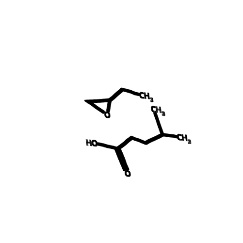 CC(C)CCC(=O)O.CCC1CO1